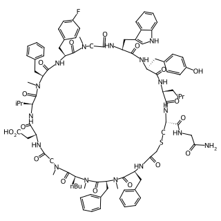 CCCC[C@H]1C(=O)N(C)CC(=O)N[C@@H](CC(=O)O)C(=O)N[C@@H](C(C)C)C(=O)N(C)[C@@H](Cc2ccccc2)C(=O)N[C@@H](Cc2ccc(F)cc2)C(=O)N(C)CC(=O)N[C@@H](Cc2c[nH]c3ccccc23)C(=O)N[C@H](Cc2ccc(O)cc2)C(=O)N[C@@H](CC(C)C)C(=O)N[C@H](C(=O)NCC(N)=O)CSCC(=O)N[C@@H](Cc2ccccc2)C(=O)N(C)[C@@H](Cc2ccccc2)C(=O)N1C